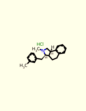 Cc1cccc(C[C@@H]2C3CCc4ccccc4[C@H]3CN2C)c1.Cl